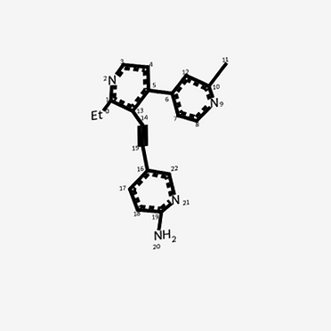 CCc1nccc(-c2ccnc(C)c2)c1C#Cc1ccc(N)nc1